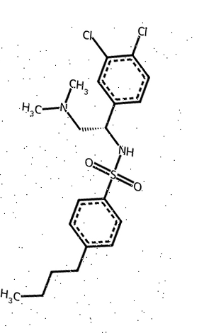 CCCCc1ccc(S(=O)(=O)N[C@H](CN(C)C)c2ccc(Cl)c(Cl)c2)cc1